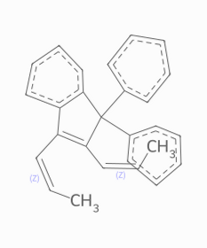 C/C=C\C1=C(/C=C\C)C(c2ccccc2)(c2ccccc2)c2ccccc21